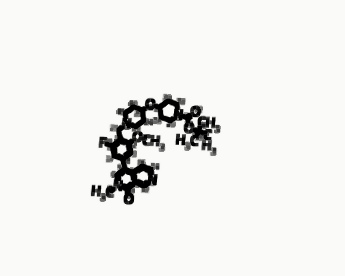 COc1cc(-c2cn(C)c(=O)c3cnccc23)cc(F)c1CN1CCC(OC2CCN(C(=O)OC(C)(C)C)CC2)CC1